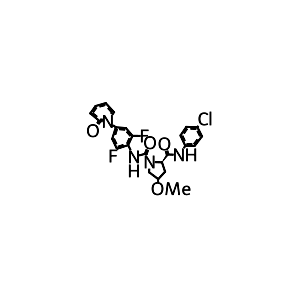 CO[C@@H]1C[C@H](C(=O)Nc2ccc(Cl)cc2)N(C(=O)Nc2c(F)cc(-n3ccccc3=O)cc2F)C1